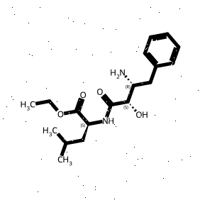 CCOC(=O)[C@H](CC(C)C)NC(=O)[C@@H](O)[C@H](N)Cc1ccccc1